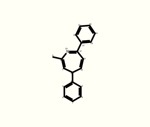 CC1=CC(c2ccccc2)C=CC(c2ccccc2)=N1